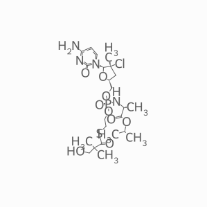 CC(C)OC(=O)[C@H](C)N[P@](=O)(OCCSC(=O)C(C)(C)CO)OC[C@@H]1C[C@@](C)(Cl)[C@H](n2ccc(N)nc2=O)O1